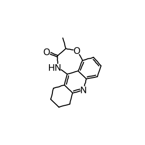 CC1Oc2cccc3nc4c(c(c23)NC1=O)CCCC4